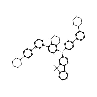 CC1(C)c2ccccc2-c2ccc(N(c3ccc(-c4cccc(C5CCCCC5)c4)cc3)c3ccc(-c4cccc(-c5ccc(C6CCCCC6)cc5)c4)c4c3CCCC4)cc21